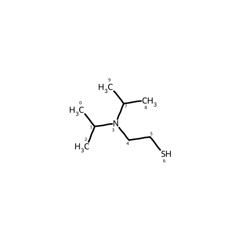 CC(C)N(CCS)C(C)C